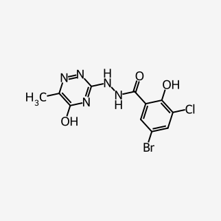 Cc1nnc(NNC(=O)c2cc(Br)cc(Cl)c2O)nc1O